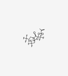 C=C(C)C(=O)OC(OCCC(F)(F)S)(C(=O)NCCC(F)(F)F)C(F)(F)F